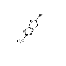 Cc1cn2c(n1)SC(C(C)C)C2